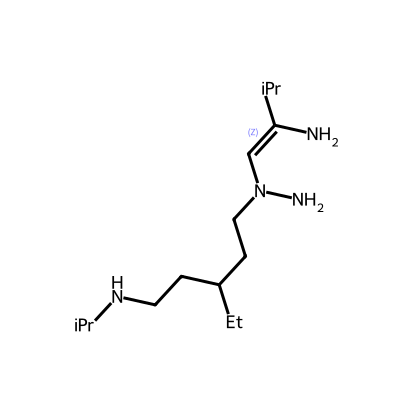 CCC(CCNC(C)C)CCN(N)/C=C(\N)C(C)C